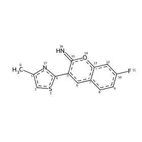 Cc1csc(-c2cc3ccc(F)cc3oc2=N)n1